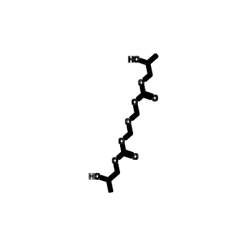 CC(O)COC(=O)OCOCOC(=O)OCC(C)O